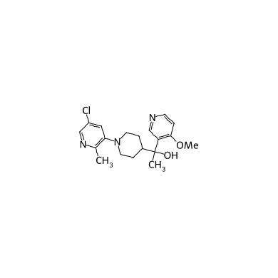 COc1ccncc1C(C)(O)C1CCN(c2cc(Cl)cnc2C)CC1